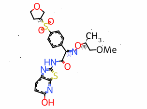 COC[C@@H](C)O/N=C(/C(=O)Nc1nc2ccc(O)nc2s1)c1ccc(S(=O)(=O)[C@H]2CCOC2)cc1